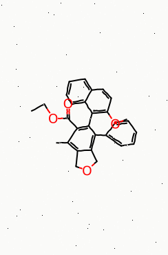 CCOC(=O)c1c(C)c2c(c(-c3ccccc3)c1-c1c(OC)ccc3ccccc13)COC2